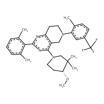 CO[C@@H]1CCN(c2nc(-c3c(C)cccc3C)nc3c2CN(c2cc(C(F)(F)F)ccc2C)CC3)CC1(C)C